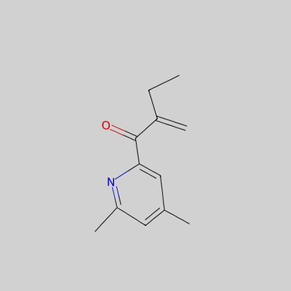 C=C(CC)C(=O)c1cc(C)cc(C)n1